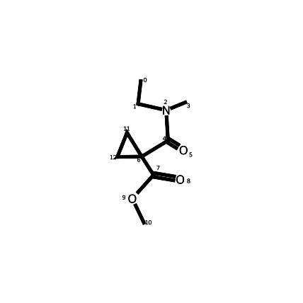 CCN(C)C(=O)C1(C(=O)OC)CC1